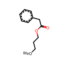 COCCCOC(=O)Cc1ccccc1